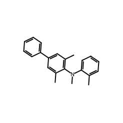 Cc1ccccc1N(C)c1c(C)cc(-c2ccccc2)cc1C